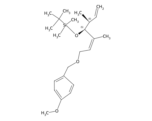 C=C[C@H](C)[C@H](O[Si](C)(C)C(C)(C)C)C(C)=CCOCc1ccc(OC)cc1